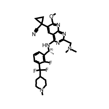 COc1nc2nc(CN(C)C)nc(N[C@H](C)c3cccc(C(F)(F)C4CCN(C)CC4)c3F)c2cc1C1(C#N)CC1